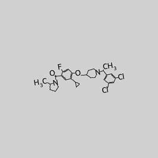 CC(c1cc(Cl)cc(Cl)c1)N1CCC(COc2cc(F)c(C(=O)N3CCCC3C)cc2C2CC2)CC1